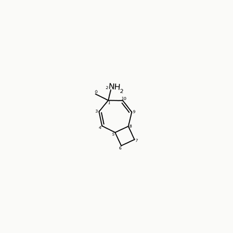 CC1(N)C=CC2CCC2C=C1